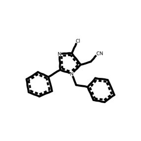 N#CCc1c(Cl)nc(-c2ccccc2)n1Cc1ccccc1